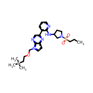 CCCS(=O)(=O)N1CCC(Nc2ncccc2-c2cnc3c(ccn3COCC[Si](C)(C)C)n2)C1